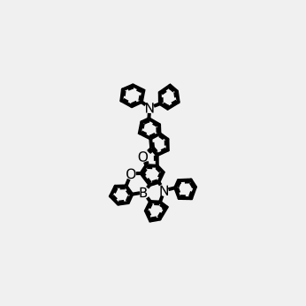 c1ccc(N(c2ccccc2)c2ccc3c(ccc4c5cc6c7c(c5oc34)Oc3ccccc3B7c3ccccc3N6c3ccccc3)c2)cc1